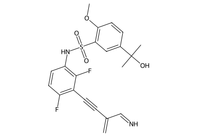 C=C(C#Cc1c(F)ccc(NS(=O)(=O)c2cc(C(C)(C)O)ccc2OC)c1F)C=N